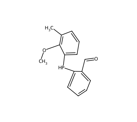 COc1c(C)cccc1Pc1ccccc1C=O